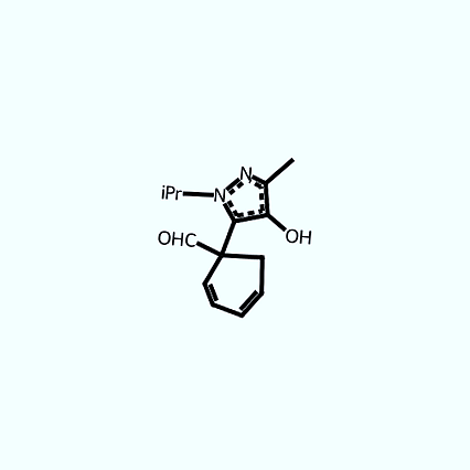 Cc1nn(C(C)C)c(C2(C=O)C=CC=CC2)c1O